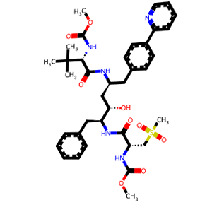 COC(=O)N[C@@H](CS(C)(=O)=O)C(=O)N[C@@H](Cc1ccccc1)[C@@H](O)C[C@H](Cc1ccc(-c2ccccn2)cc1)NC(=O)[C@@H](NC(=O)OC)C(C)(C)C